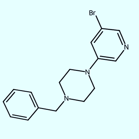 Brc1cncc(N2CCN(Cc3ccccc3)CC2)c1